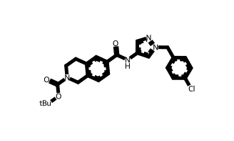 CC(C)(C)OC(=O)N1CCc2cc(C(=O)Nc3cnn(Cc4ccc(Cl)cc4)c3)ccc2C1